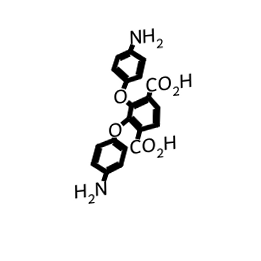 Nc1ccc(Oc2c(C(=O)O)ccc(C(=O)O)c2Oc2ccc(N)cc2)cc1